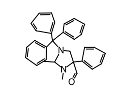 CC1N(C)C(C=O)(c2ccccc2)CN1C(c1ccccc1)(c1ccccc1)c1ccccc1